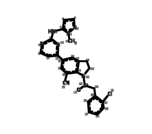 Cn1nccc1Nc1nccc(-c2cc(C#N)c3c(c2)CCN3[S+]([O-])Cc2ccccc2Cl)n1